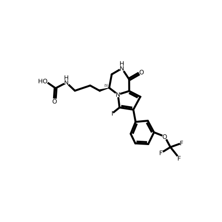 O=C(O)NCCC[C@H]1CNC(=O)c2cc(-c3cccc(OC(F)(F)F)c3)c(I)n21